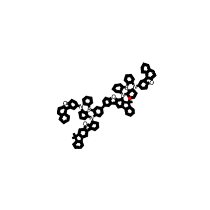 CC1(C)c2ccccc2-c2cc3c(cc21)oc1c(N2c4ccc(-c5ccc6oc7c(N8c9ccccc9B9c%10ccccc%10N(c%10ccc%11oc%12ccc%13ccccc%13c%12c%11c%10)c%10cccc8c%109)c8c(cc7c6c5)-c5ccccc5C8(C)C)cc4B4c5ccccc5N(c5ccc6oc7ccc8ccccc8c7c6c5)c5cccc2c54)cccc13